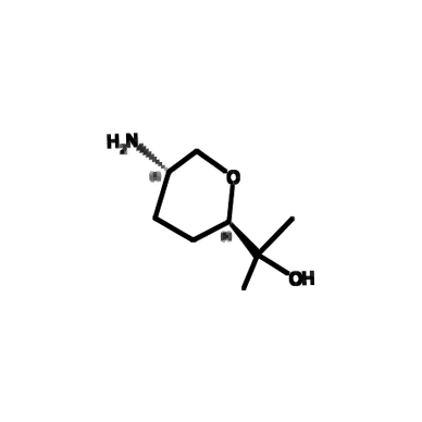 CC(C)(O)[C@H]1CC[C@H](N)CO1